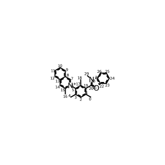 Cc1cc(C)c(-[n+]2cc3ccccc3cc2C)c(C)c1-c1oc2ccccc2[n+]1C